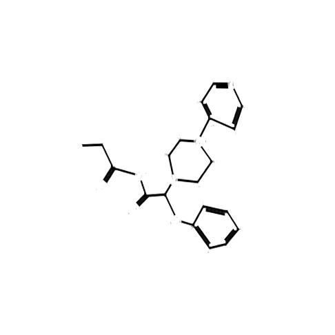 CCC(=O)OC(=O)C(Oc1ccccc1)N1CCN(c2ccncc2)CC1